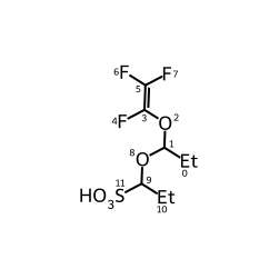 CCC(OC(F)=C(F)F)OC(CC)S(=O)(=O)O